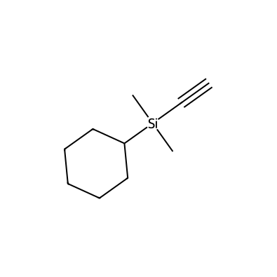 C#C[Si](C)(C)C1CCCCC1